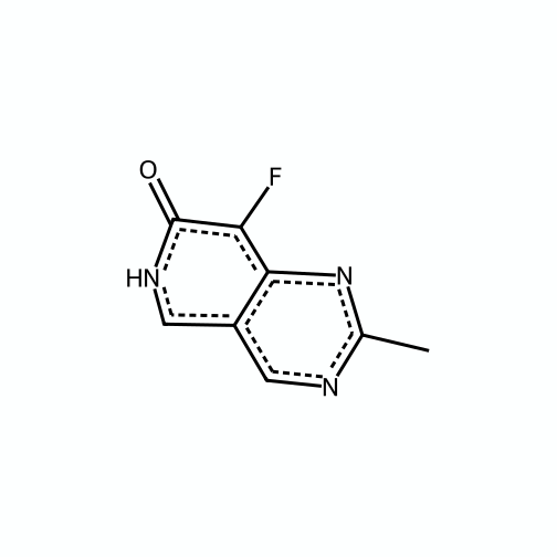 Cc1ncc2c[nH]c(=O)c(F)c2n1